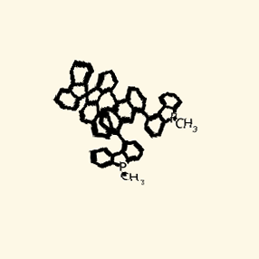 Cp1c2ccccc2c2c(-c3cccc4c(-c5cccc6c5-c5c(ccc7ccccc57)C65c6ccccc6-c6ccccc65)c5cccc(-c6cccc7c6c6ccccc6p7C)c5cc34)cccc21